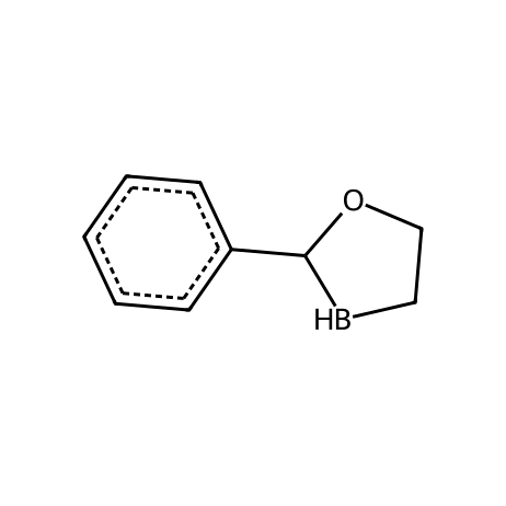 B1CCOC1c1ccccc1